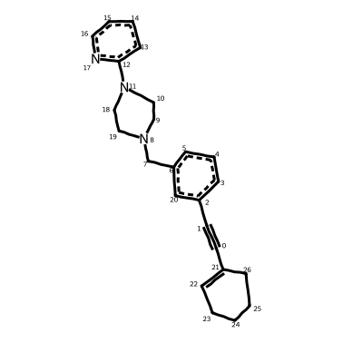 C(#Cc1cccc(CN2CCN(c3ccccn3)CC2)c1)C1=CCCCC1